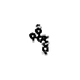 Cc1nn2c(-c3ccc(C(F)(F)F)cc3)c(-c3ccccc3Cl)cnc2c1C(=O)NC1(C)CCS(=O)(=O)CC1